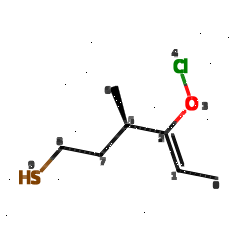 C/C=C(\OCl)[C@H](C)CCS